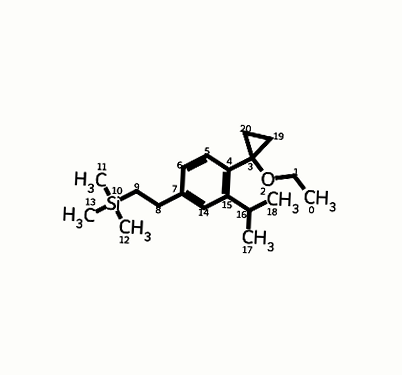 CCOC1(c2ccc(CC[Si](C)(C)C)cc2C(C)C)CC1